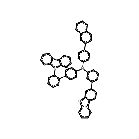 c1cc(-c2ccc3c(c2)oc2ccccc23)cc(N(c2ccc(-c3ccc4ccccc4c3)cc2)c2ccc(-c3ccccc3-n3c4ccccc4c4ccccc43)cc2)c1